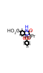 CC(C)C1C(=O)Nc2cc(C(=O)O)ccc2N1S(=O)(=O)c1ccccc1